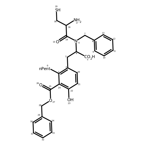 CCCCCc1c(CC(C(=O)O)N(Cc2ccccc2)C(=O)C(N)CS)ccc(O)c1C(=O)OCc1ccccc1